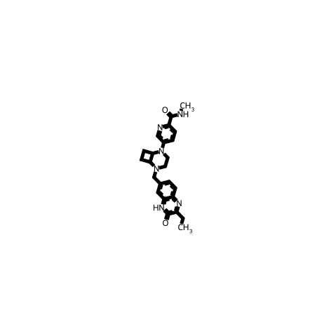 CCc1nc2ccc(CN3CCN(c4ccc(C(=O)NC)nc4)C4CCC43)cc2[nH]c1=O